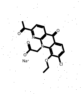 CCOc1c(Cl)ccc2c(=O)c3ccc(C(C)=O)nc3n(CC(=O)[O-])c12.[Na+]